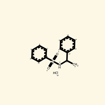 CC(NS(=O)(=O)c1ccccc1)c1ccccc1.Cl